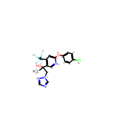 CC(O)(Cn1cncn1)c1cnc(Oc2ccc(Cl)cc2)cc1C(F)(F)F